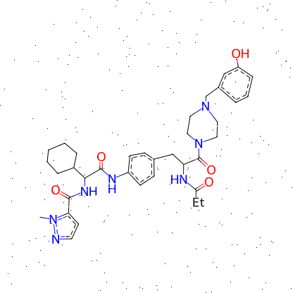 CCC(=O)NC(Cc1ccc(NC(=O)C(NC(=O)c2ccnn2C)C2CCCCC2)cc1)C(=O)N1CCN(Cc2cccc(O)c2)CC1